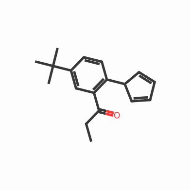 CCC(=O)c1cc(C(C)(C)C)ccc1C1C=CC=C1